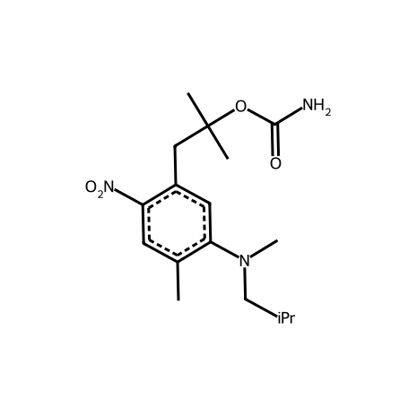 Cc1cc([N+](=O)[O-])c(CC(C)(C)OC(N)=O)cc1N(C)CC(C)C